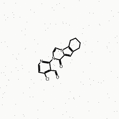 O=Cc1c(Cl)ccnc1-n1ccn2c3c(cc2c1=O)CCCC3